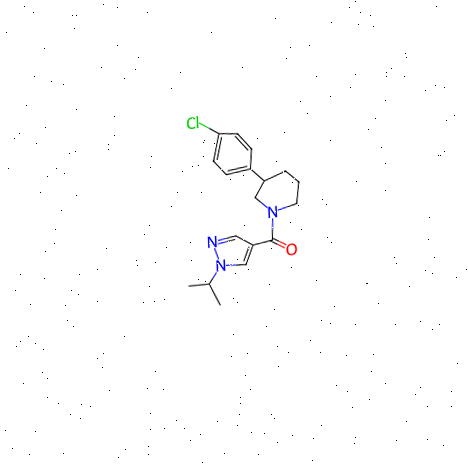 CC(C)n1cc(C(=O)N2CCCC(c3ccc(Cl)cc3)C2)cn1